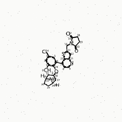 Cc1cc(Cl)cc(-c2ccnc3cc(CN4C(=O)CCC4=O)sc23)c1OC1C[C@H]2CC[C@@H](C1)N2